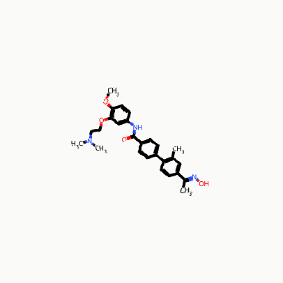 COc1ccc(NC(=O)c2ccc(-c3ccc(C(C)=NO)cc3C)cc2)cc1OCCN(C)C